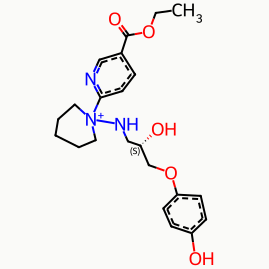 CCOC(=O)c1ccc([N+]2(NC[C@H](O)COc3ccc(O)cc3)CCCCC2)nc1